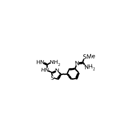 CSC(N)=Nc1cccc(-c2csc(NC(=N)N)n2)c1